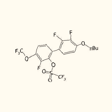 CCCCOc1ccc(-c2ccc(OC(F)(F)F)c(F)c2OS(=O)(=O)C(F)(F)F)c(F)c1F